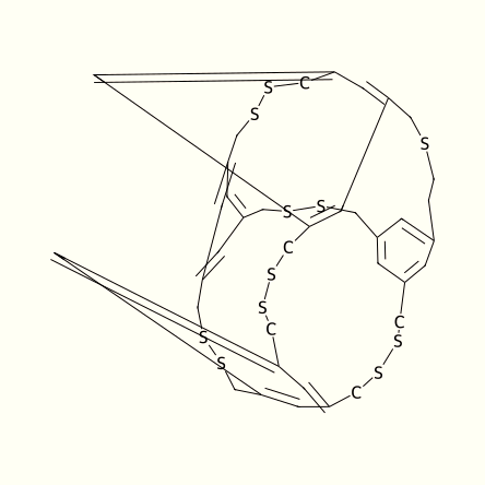 c1c2cc3cc1CSSCc1cc4cc(c1)CSSCc1cc(cc(c1)CSSCc1cc(cc(c1)CSSC4)CSCC2)CSSC3